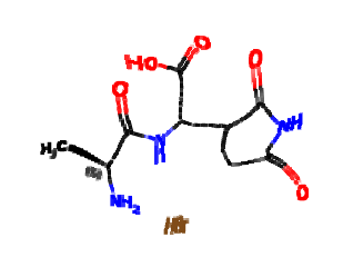 Br.C[C@H](N)C(=O)NC(C(=O)O)C1CC(=O)NC1=O